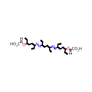 C=C/C(=C\C=C(/C=C)N=N/C(C=C)=C/C=C(\C=C)OBC(=O)O)N=N/C(C=C)=C/C=C(\C=C)OBC(=O)O